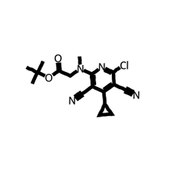 CN(CC(=O)OC(C)(C)C)c1nc(Cl)c(C#N)c(C2CC2)c1C#N